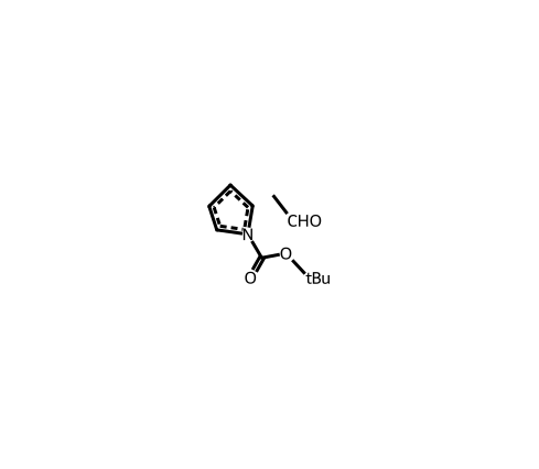 CC(C)(C)OC(=O)n1cccc1.CC=O